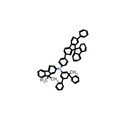 CC1(c2ccccc2)C=C(N(c2ccc(-c3ccc4c(c3)C3(C5=C(C=CCC5)c5ccccc53)c3cc(-c5ccccc5)ccc3-4)cc2)c2ccc3c(c2)C(C)(C)c2ccccc2-3)C=C(c2ccccc2)C1